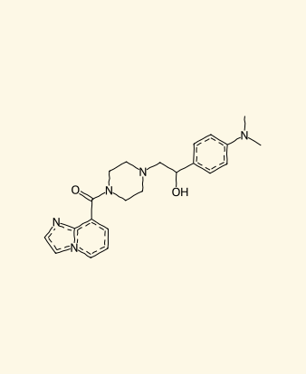 CN(C)c1ccc(C(O)CN2CCN(C(=O)c3cccn4ccnc34)CC2)cc1